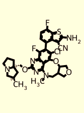 C[C@H]1CN2CCC[C@@]2(COc2nc3c4c(c(Cl)c(-c5ccc(F)c6sc(N)c(C#N)c56)c(F)c4n2)OC2COCC2CN3C)C1